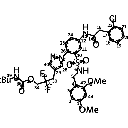 COc1ccc(CNS(=O)(=O)c2cc(NC(=O)Cc3ccccc3Cl)ccc2-n2cc(CC(F)(F)COC(=O)NC(C)(C)C)cn2)c(OC)c1